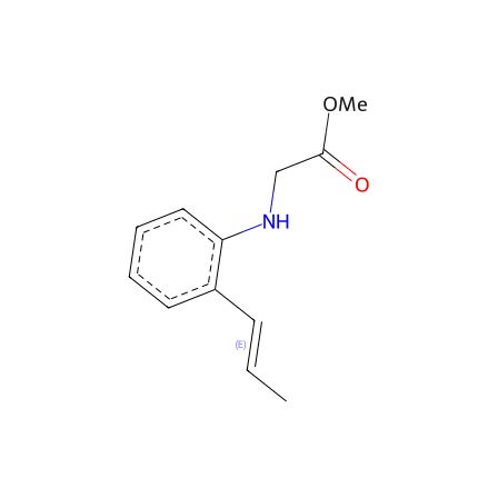 C/C=C/c1ccccc1NCC(=O)OC